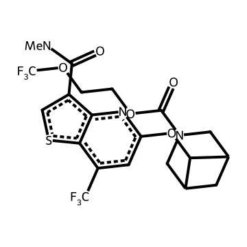 CNC(=O)c1csc2c(C(F)(F)F)cc(OC3C4CC3CN(C(=O)OCCOC(F)(F)F)C4)nc12